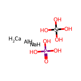 O=P(O)(O)O.O[Si](O)(O)O.[AlH3].[CaH2].[NaH]